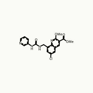 COC(=O)c1cc2cc(Cl)cc(CNC(=O)Nc3cccnc3)c2nc1OC